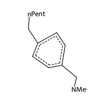 CCCCCCc1ccc(C[N]C)cc1